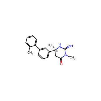 Cc1ccccc1-c1cccc([C@]2(C)CC(=O)N(C)C(=N)N2)c1